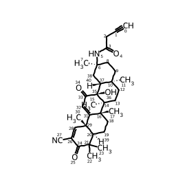 C#CCC(=O)N[C@@]1(C)CC[C@@]2(C)CC[C@@]3(C)[C@]4(C)CC[C@H]5C(C)(C)C(=O)C(C#N)=C[C@]5(C)C4=CC(=O)[C@]3(O)[C@@H]2C1